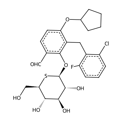 O=Cc1ccc(OC2CCCC2)c(Cc2c(F)cccc2Cl)c1O[C@@H]1S[C@H](CO)[C@@H](O)[C@H](O)[C@H]1O